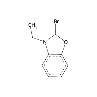 CCN1c2ccccc2OC1Br